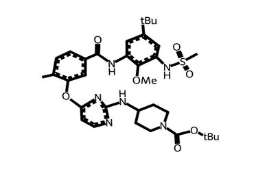 COc1c(NC(=O)c2ccc(C)c(Oc3ccnc(NC4CCN(C(=O)OC(C)(C)C)CC4)n3)c2)cc(C(C)(C)C)cc1NS(C)(=O)=O